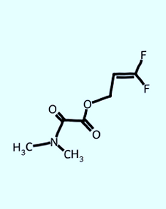 CN(C)C(=O)C(=O)OCC=C(F)F